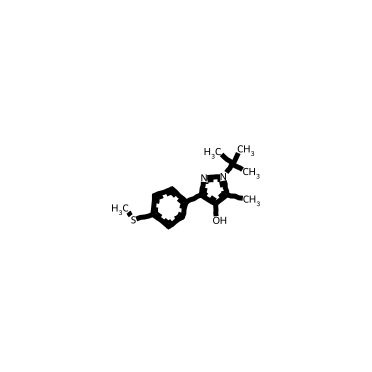 CSc1ccc(-c2nn(C(C)(C)C)c(C)c2O)cc1